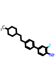 CC1CCC(CCc2ccc(-c3ccc(N)c(F)c3)cc2)CC1